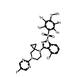 [2H]c1c([2H])c(S(=O)(=O)n2nc(N3CCN(c4ncc(F)cn4)CC34CC4)c3c(Cl)cccc32)c([2H])c([2H])c1SC(C)C